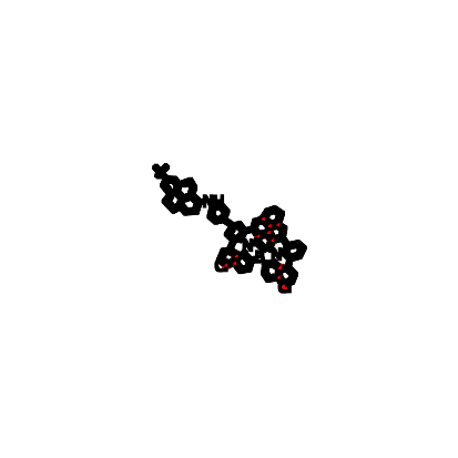 CC(C)(C)c1cc2ccc3ccc(Nc4ccc(-c5cc(-c6ccccc6)c(N6c7cc(Cl)ccc7B7c8ccc(Cl)cc8N(c8c(-c9ccccc9)cccc8-c8ccccc8)c8cc(-c9ccccc9)cc6c87)c(-c6ccccc6)c5)cc4)c4ccc(c1)c2c34